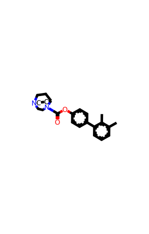 Cc1cccc(-c2ccc(OC(=O)N3CCN4CCC3CC4)cc2)c1C